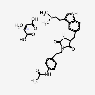 CC(=O)Nc1ccc(CCN2C(=O)NC(Cc3ccc4[nH]cc(CCN(C)C)c4c3)C2=O)cc1.O.O=C(O)/C=C\C(=O)O